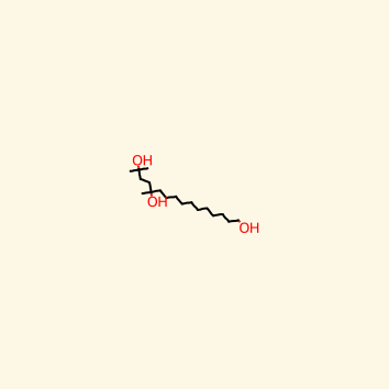 CC(C)(O)CCC(C)(O)CCCCCCCCCCCO